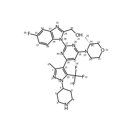 Cc1nn(C2CCNCC2)c(C(F)(F)F)c1-c1cc(N2CCOC[C@H]2C)nc(-n2c(CO)nc3cc(F)ccc32)n1